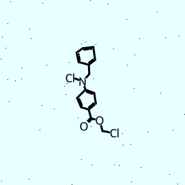 O=C(OCCl)c1ccc(N(Cl)Cc2ccccc2)cc1